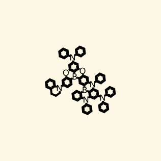 c1ccc(N(c2ccccc2)c2cc3c4c(c2)Oc2cc5c(cc2B4c2ccc(N4CCCc6ccccc64)cc2O3)B2c3ccccc3N(c3ccccc3)c3cc(N(c4ccccc4)c4ccccc4)cc(c32)N5c2ccccc2)cc1